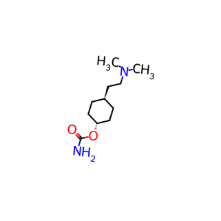 CN(C)CC[C@H]1CC[C@H](OC(N)=O)CC1